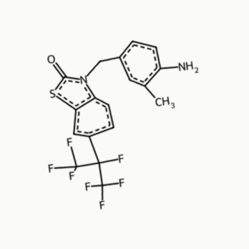 Cc1cc(Cn2c(=O)sc3cc(C(F)(C(F)(F)F)C(F)(F)F)ccc32)ccc1N